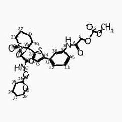 COC(=O)OCC(=O)Nc1cccc(-c2ccc([C@@]3(CC(=O)NOC4CCCCO4)CCCCS3(=O)=O)s2)c1